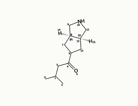 CC(C)CC(=O)C1C[C@H]2CNC[C@H]2C1